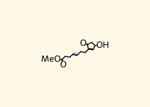 COC(=O)CC/C=C/CCC1=CC(O)CC1=O